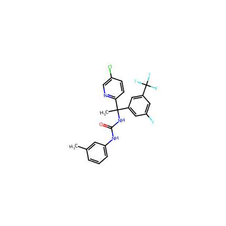 Cc1cccc(NC(=O)NC(C)(c2cc(F)cc(C(F)(F)F)c2)c2ccc(Cl)cn2)c1